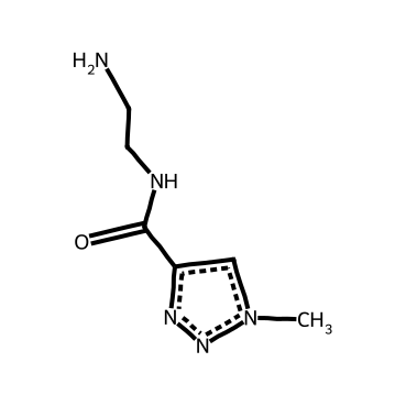 Cn1cc(C(=O)NCCN)nn1